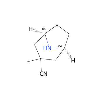 CC1(C#N)C[C@H]2CC[C@@H](C1)N2